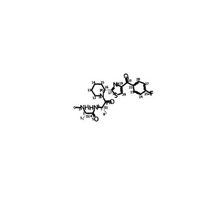 CN[C@@H](C)C(=O)N[C@@H](C)C(=O)N1CCCC[C@@H]1c1nc(C(=O)c2ccc(F)cc2)cs1